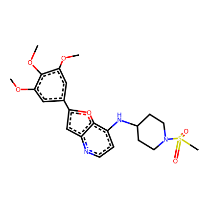 COc1cc(-c2cc3nccc(NC4CCN(S(C)(=O)=O)CC4)c3o2)cc(OC)c1OC